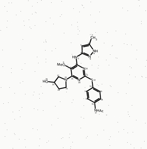 COc1c(Nc2cc(C)[nH]n2)nc(Sc2ccc(NC(C)=O)cc2)nc1N1CCC(O)C1